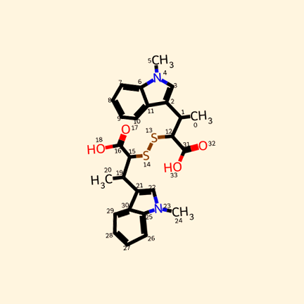 CC(c1cn(C)c2ccccc12)C(SSC(C(=O)O)C(C)c1cn(C)c2ccccc12)C(=O)O